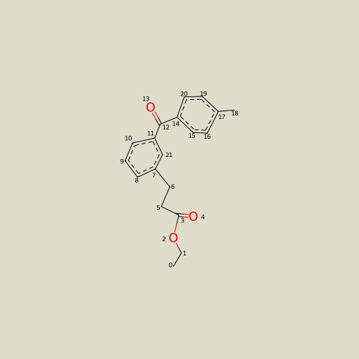 CCOC(=O)CCc1cccc(C(=O)c2ccc(C)cc2)c1